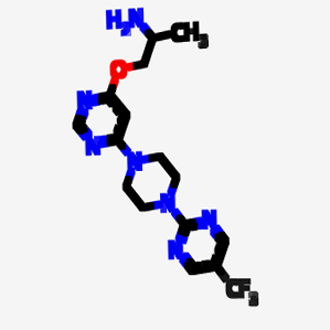 CC(N)COc1cc(N2CCN(c3ncc(C(F)(F)F)cn3)CC2)ncn1